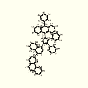 c1ccc(-c2c(-c3ccc(-c4ccc5ccc6cccnc6c5n4)c4ccccc34)oc(-c3c4ccccc4c(-c4ccccc4)c4ccccc34)c2-c2ccccc2)cc1